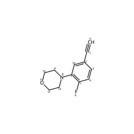 C#Cc1ccc(F)c(N2CCOCC2)c1